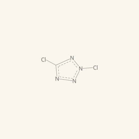 Clc1nnn(Cl)n1